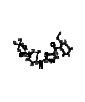 CCc1ccccc1C(=O)c1cnc(NC2CCN(C(=O)OC(C)(C)C)CC2)s1